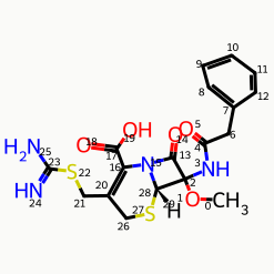 COC1(NC(=O)Cc2ccccc2)C(=O)N2C(C(=O)O)=C(CSC(=N)N)CS[C@H]21